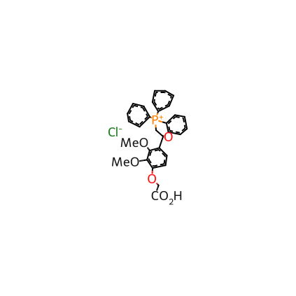 COc1c(OCC(=O)O)ccc(C(=O)C[P+](c2ccccc2)(c2ccccc2)c2ccccc2)c1OC.[Cl-]